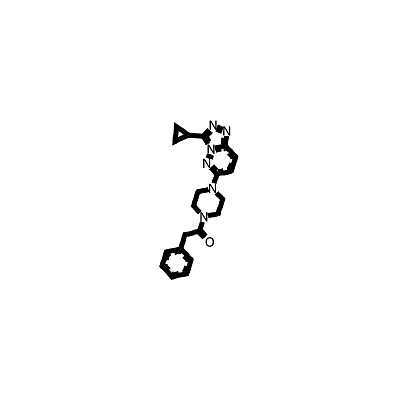 O=C(Cc1ccccc1)N1CCN(c2ccc3nnc(C4CC4)n3n2)CC1